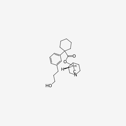 O=C(O[C@H]1CN2CCC1CC2)C1(c2cccc(CCCO)c2)CCCCC1